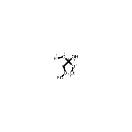 [CH2]COC(O)(COCC)OCC